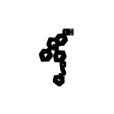 Oc1ccc2c(c1)CCC(c1ccccc1)N2c1ccc(OCCN2CCCC2)cc1